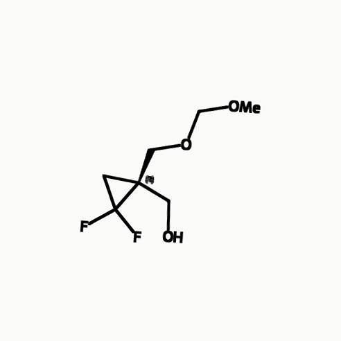 COCOC[C@]1(CO)CC1(F)F